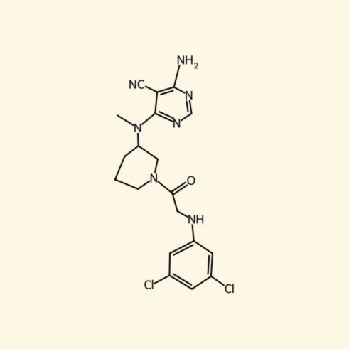 CN(c1ncnc(N)c1C#N)C1CCCN(C(=O)CNc2cc(Cl)cc(Cl)c2)C1